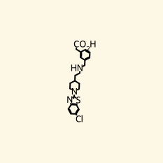 O=C(O)Cc1cccc(CNCCC2CCN(c3nc4ccc(Cl)cc4s3)CC2)c1